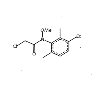 CCc1ccc(C)c(N(OC)C(=O)CCl)c1C